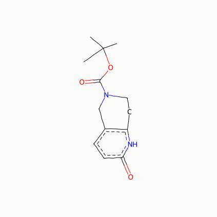 CC(C)(C)OC(=O)N1CCc2[nH]c(=O)ccc2C1